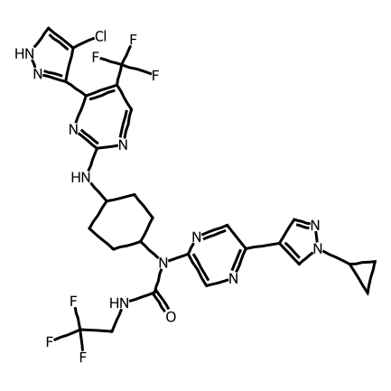 O=C(NCC(F)(F)F)N(c1cnc(-c2cnn(C3CC3)c2)cn1)C1CCC(Nc2ncc(C(F)(F)F)c(-c3n[nH]cc3Cl)n2)CC1